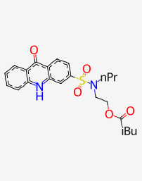 CCCN(CCOC(=O)C(C)CC)S(=O)(=O)c1ccc2c(=O)c3ccccc3[nH]c2c1